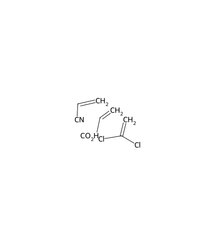 C=C(Cl)Cl.C=CC#N.C=CC(=O)O